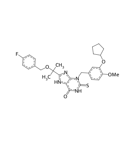 COc1ccc(Cn2c(=S)[nH]c(=O)c3[nH]c(C(C)(C)OCc4ccc(F)cc4)nc32)cc1OC1CCCC1